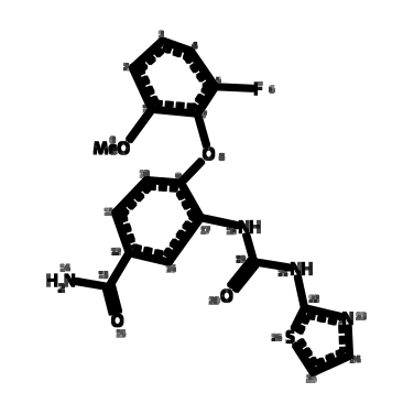 COc1cccc(F)c1Oc1ccc(C(N)=O)cc1NC(=O)Nc1nccs1